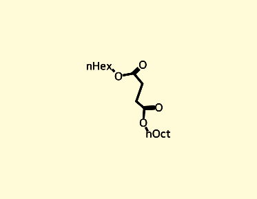 CCCCCCCCOC(=O)CCC(=O)OCCCCCC